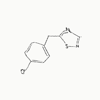 Clc1ccc(Cc2n[c]ns2)cc1